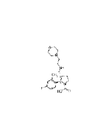 Cc1cc(F)ccc1[C@H]1[C@H](CNCCN2CCOCC2)CCN1C(=O)O